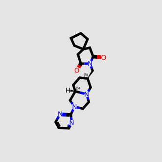 O=C1CC2(CCCC2)CC(=O)N1C[C@@H]1CC[C@H]2CN(c3ncccn3)CCN2C1